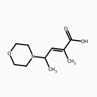 C/C(=C\C(C)N1CCOCC1)C(=O)O